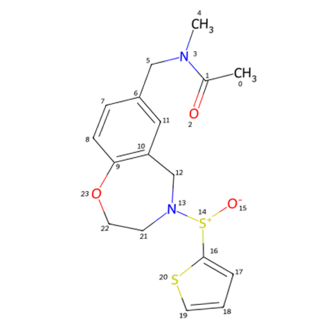 CC(=O)N(C)Cc1ccc2c(c1)CN([S+]([O-])c1cccs1)CCO2